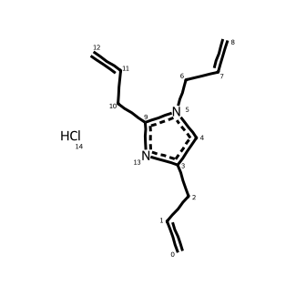 C=CCc1cn(CC=C)c(CC=C)n1.Cl